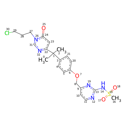 CC(C)(c1ccc(OCc2ccnc(NS(C)(=O)=O)n2)cc1)c1cc(=O)n(CCCCl)cn1